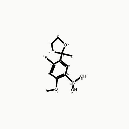 COc1cc(F)c(C2(C)OCCO2)cc1B(O)O